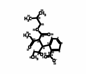 CCC(=O)C(c1ccccc1[N+](=O)[O-])C(C(C)=O)C(=O)OCC(C)C